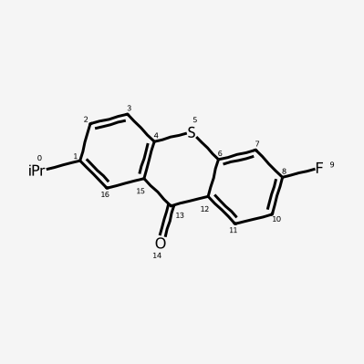 CC(C)c1ccc2sc3cc(F)ccc3c(=O)c2c1